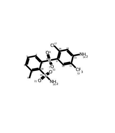 Cc1cccc(S(=O)(=O)c2cc(C(F)(F)F)c(N)cc2Cl)c1S(N)(=O)=O